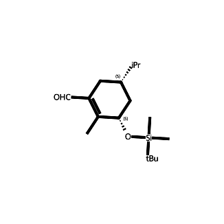 CC1=C(C=O)C[C@H](C(C)C)C[C@@H]1O[Si](C)(C)C(C)(C)C